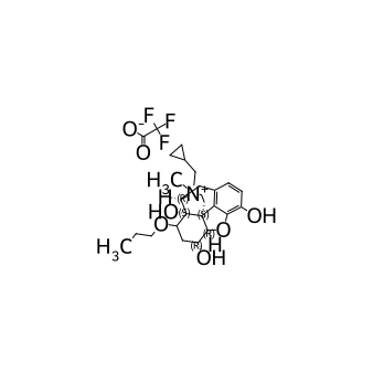 CCCOC1C[C@@H](O)[C@@H]2Oc3c(O)ccc4c3[C@@]23CC[N+](C)(CC2CC2)[C@H](C4)[C@]13O.O=C([O-])C(F)(F)F